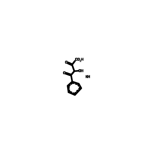 O=C(O)C(=O)C(O)C(=O)c1ccccc1.[KH]